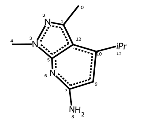 Cc1nn(C)c2nc(N)cc(C(C)C)c12